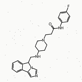 O=C(CCN1CCC(NCC2c3ccccc3-c3cncn32)CC1)Nc1ccc(F)cc1